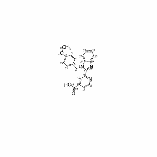 COc1ccc(Cn2c(-c3cc(C(=O)O)ccn3)nc3cc#ccc32)cc1